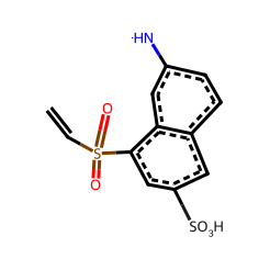 C=CS(=O)(=O)c1cc(S(=O)(=O)O)cc2ccc([NH])cc12